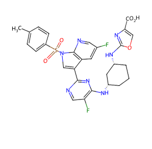 Cc1ccc(S(=O)(=O)n2cc(-c3ncc(F)c(N[C@H]4CCC[C@@H](Nc5nc(C(=O)O)co5)C4)n3)c3cc(F)cnc32)cc1